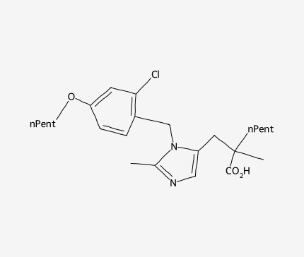 CCCCCOc1ccc(Cn2c(CC(C)(CCCCC)C(=O)O)cnc2C)c(Cl)c1